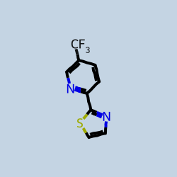 FC(F)(F)c1ccc(-c2nccs2)nc1